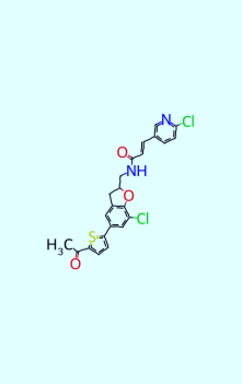 CC(=O)c1ccc(-c2cc(Cl)c3c(c2)CC(CNC(=O)C=Cc2ccc(Cl)nc2)O3)s1